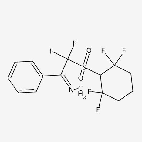 C/N=C(/c1ccccc1)C(F)(F)S(=O)(=O)C1C(F)(F)CCCC1(F)F